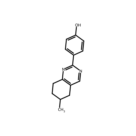 CC1CCc2nc(-c3ccc(O)cc3)ncc2C1